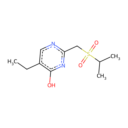 CCc1cnc(CS(=O)(=O)C(C)C)nc1O